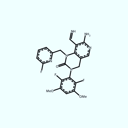 COc1cc(OC)c(F)c(N2Cc3cnc(N)c(C=N)c3N(Cc3cccc(F)n3)C2=O)c1F